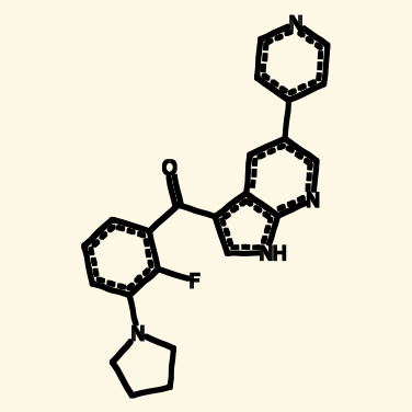 O=C(c1cccc(N2CCCC2)c1F)c1c[nH]c2ncc(-c3ccncc3)cc12